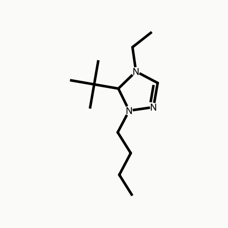 CCCCN1N=CN(CC)C1C(C)(C)C